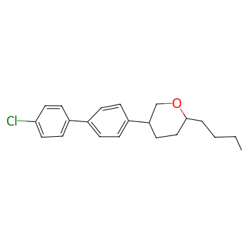 CCCCC1CCC(c2ccc(-c3ccc(Cl)cc3)cc2)CO1